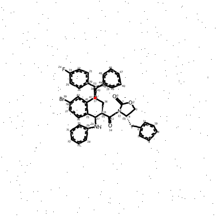 O=C1OC[C@H](Cc2ccccc2)N1C(=O)[C@H](CC[C@H](O)c1ccc(F)cc1)C(Nc1ccccc1)c1ccc(Br)cc1OCc1ccccc1